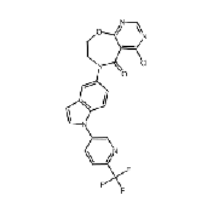 O=C1c2c(Cl)ncnc2OCCN1c1ccc2c(ccn2-c2ccc(C(F)(F)F)nc2)c1